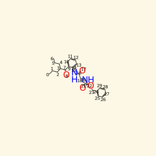 CCCC(CCC)C(=O)c1ccccc1NC(=O)CNC(=O)OCc1ccccc1